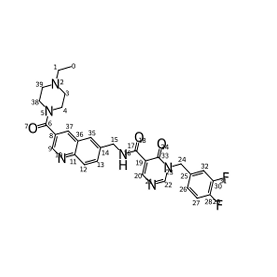 CCN1CCN(C(=O)c2cnc3ccc(CNC(=O)c4cncn(Cc5ccc(F)c(F)c5)c4=O)cc3c2)CC1